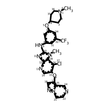 CN1CCC(Oc2cc(Nc3nc4ncc(Oc5cnn6ccncc56)c(Cl)c4n3C)cc(C(F)(F)F)c2)CC1